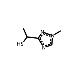 CC(S)c1ncn(C)n1